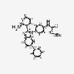 CC(C)(C)OC(=O)Nc1ccc(-n2c(-c3cccnc3N)nc3ccc(-c4ccccc4)nc32)cc1